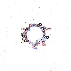 CCCC[C@H]1C(=O)N2C[C@@H](O)C[C@@H]2C(=O)N[C@@H](CC(=O)O)C(=O)N[C@@H](C(C)C)C(=O)N(C)[C@@H](Cc2ccccc2)C(=O)N[C@@H](Cc2ccc(OC)cc2)C(=O)N2C[C@@H](O)C[C@@H]2C(=O)N[C@@H](Cc2c[nH]c3ccccc23)C(=O)N[C@@H](Cc2ccc(O)cc2)C(=O)N[C@@H](CC(C)C)C(=O)N[C@H](C(=O)NCC(N)=O)CSCC(=O)N[C@@H](Cc2ccc(F)c(F)c2)C(=O)N(C)[C@@H](Cc2ccccc2)C(=O)N1C